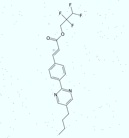 CCCCc1cnc(-c2ccc(/C=C/C(=O)OCC(F)(F)C(F)F)cc2)nc1